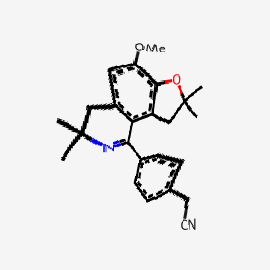 COc1cc2c(c3c1OC(C)(C)C3)C(c1ccc(CC#N)cc1)=NC(C)(C)C2